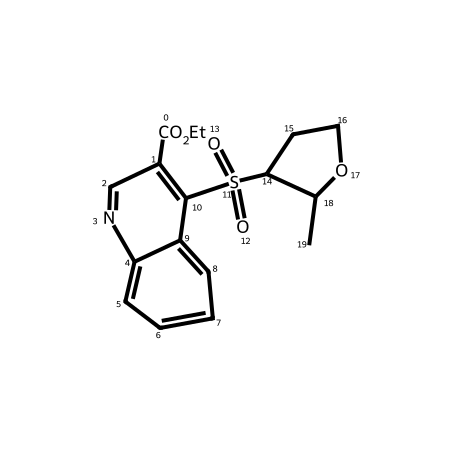 CCOC(=O)c1cnc2ccccc2c1S(=O)(=O)C1CCOC1C